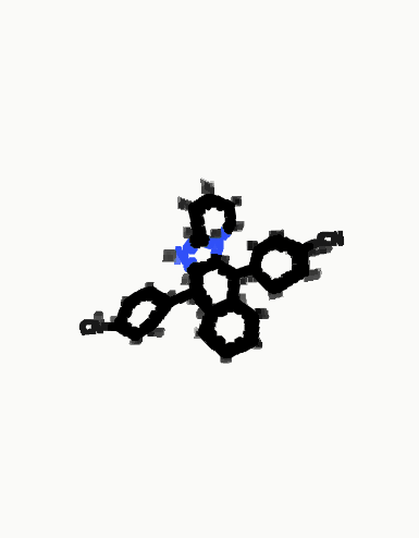 [C-]#[N+]c1ccc(-c2c3ccccc3c(-c3ccc(C#N)cc3)c3c2nc2ccccn23)cc1